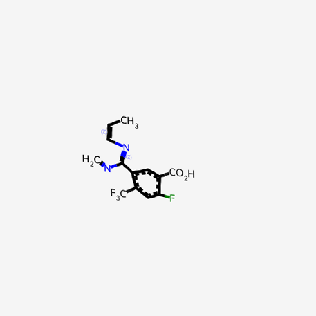 C=N/C(=N\C=C/C)c1cc(C(=O)O)c(F)cc1C(F)(F)F